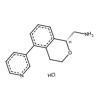 Cl.NC[C@@H]1OCCc2c(-c3cccnc3)cccc21